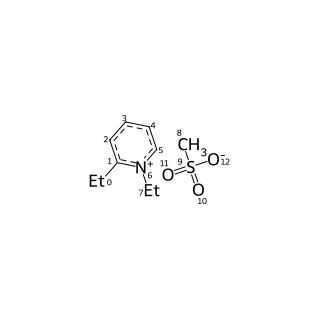 CCc1cccc[n+]1CC.CS(=O)(=O)[O-]